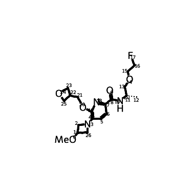 COC1CN(c2ccc(C(=O)N[C@@H](C)COCCF)nc2OCC2COC2)C1